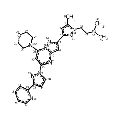 Cc1cc(-c2cc3nc(-n4ccc(-c5ccccn5)n4)cc(N4CCOCC4)n3n2)nn1CCN(C)C